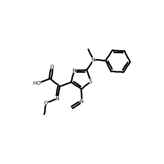 C=Nc1sc(N(C)c2ccccc2)nc1C(=NOC)C(=O)O